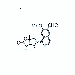 COc1cc2c(N3CC4NC(=O)OC4(C)C3)nccc2cc1C=O